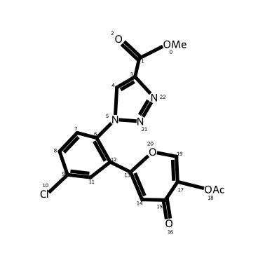 COC(=O)c1cn(-c2ccc(Cl)cc2-c2cc(=O)c(OC(C)=O)co2)nn1